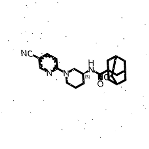 N#Cc1ccc(N2CCC[C@H](NC(=O)C34CC5CC(C3)C(O)C(C5)C4)C2)nc1